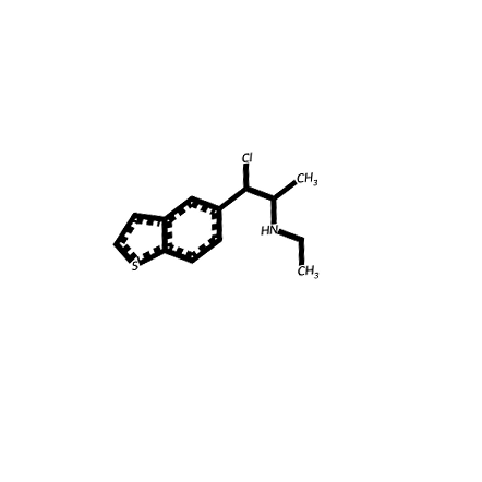 CCNC(C)C(Cl)c1ccc2sccc2c1